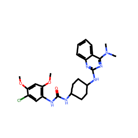 COc1cc(OC)c(NC(=O)NC2CCC(Nc3nc(N(C)C)c4ccccc4n3)CC2)cc1Cl